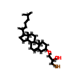 CC(C)CCCC(C)C1CCC2C3CC=C4CC(OCC(O)CS)CCC4(C)C3CCC12C